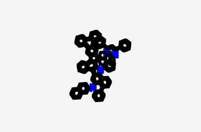 CC1(C)c2cc3c4ccccc4c4ccccc4c3cc2-c2c1c1c(c3ccccc23)c2cc(N(c3ccc4ccccc4c3)c3ccccc3-c3ccccc3)ccc2n1-c1cccc(-c2nc(-c3ccccc3)cc(-c3ccccc3)n2)c1